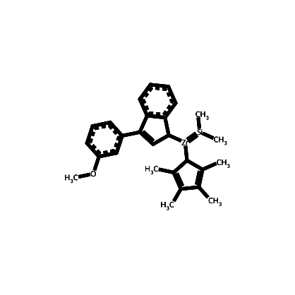 COc1cccc(C2=C[CH]([Zr]([CH]3C(C)=C(C)C(C)=C3C)=[Si](C)C)c3ccccc32)c1